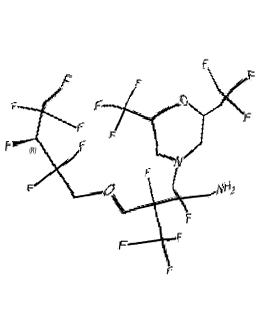 NC(F)(N1CC(C(F)(F)F)OC(C(F)(F)F)C1)C(F)(COCC(F)(F)[C@@H](F)C(F)(F)F)C(F)(F)F